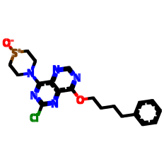 [O-][S+]1CCN(c2nc(Cl)nc3c(OCCCCc4ccccc4)ncnc23)CC1